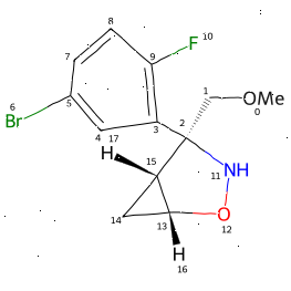 COC[C@]1(c2cc(Br)ccc2F)NO[C@@H]2C[C@@H]21